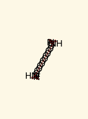 O=C(COCCOCCOCCOCCOCCOCCOCCOCCOCCOCCOCCOCC(=O)N[C@@H](c1ccccc1)c1ccc(C2CC2)c(F)n1)N[C@@H](c1ccccc1)c1ccc(C2CC2)c(F)n1